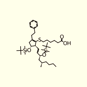 CCCC[C@@H](C)C[C@@H](C=C[C@@H]1C(SCCCCCC(=O)O)=C(CCc2ccccc2)C[C@H]1O[Si](C)(C)C(C)(C)C)O[Si](C)(C)C(C)(C)C